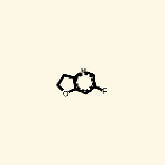 Fc1cnc2c(c1)OCC2